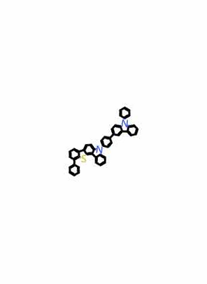 c1ccc(-c2cccc3c2sc2c3ccc3c2c2ccccc2n3-c2ccc(-c3ccc4c(c3)c3ccccc3n4-c3ccccc3)cc2)cc1